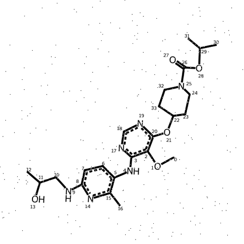 COc1c(Nc2ccc(NCC(C)O)nc2C)ncnc1OC1CCN(C(=O)OC(C)C)CC1